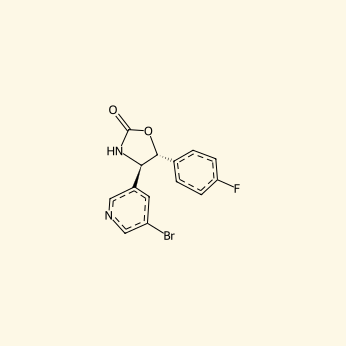 O=C1N[C@H](c2cncc(Br)c2)[C@@H](c2ccc(F)cc2)O1